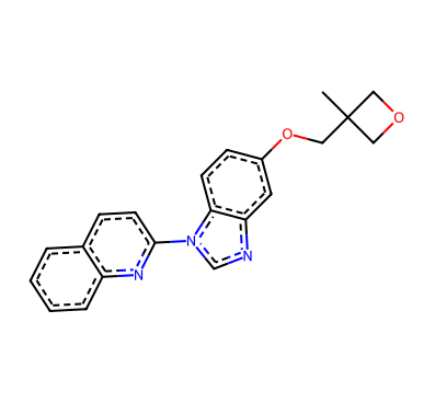 CC1(COc2ccc3c(c2)ncn3-c2ccc3ccccc3n2)COC1